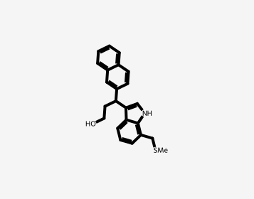 CSCc1cccc2c(C(CCO)c3ccc4ccccc4c3)c[nH]c12